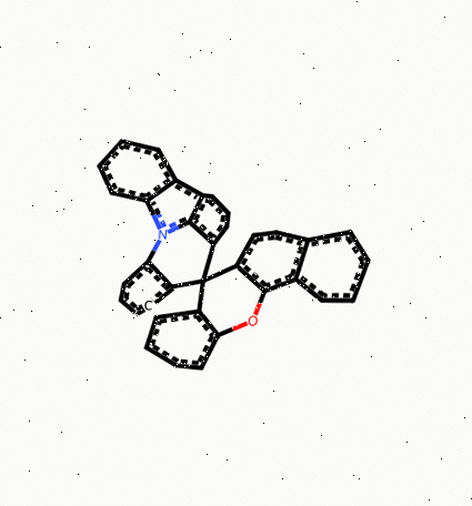 c1ccc2c(c1)Oc1c(ccc3ccccc13)C21c2ccccc2-n2c3ccccc3c3cccc1c32